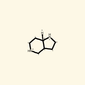 C1C[C@@H]2NCCC2CN1